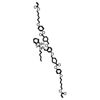 C=CC(=O)OCCCCCCOc1ccc(OC(=O)C2CCC(COc3ccc(OCC4CCC(C(=O)Oc5ccc(OCCCCCCOC(=O)C=C)cc5)CC4)c(/C=N/N(CCCCCC)C4Nc5ccccc5S4)c3)CC2)cc1